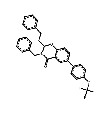 O=C1c2cc(-c3ccc(OC(F)(F)F)cc3)ccc2OC(CCc2ccccc2)N1Cc1ccccn1